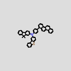 CC1(C)c2ccccc2-c2ccc(N(c3ccc(-c4cccc5c4ccc4c6ccccc6ccc54)cc3)c3ccc4sc5ccccc5c4c3)cc21